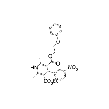 CCOC(=O)C1=C(C)NC(C)=C(C(=O)OCCOc2ccccc2)C1c1cccc([N+](=O)[O-])c1